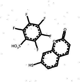 O=S(=O)(O)c1c(F)c(F)c(F)c(F)c1F.O=c1ccc2ccc(S)cc2o1